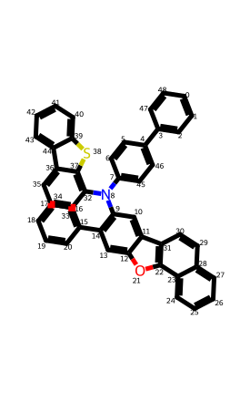 c1ccc(-c2ccc(N(c3cc4c(cc3-c3ccccc3)oc3c5ccccc5ccc43)c3cccc4c3sc3ccccc34)cc2)cc1